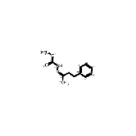 COC(=O)N/N=C(/C)CCc1ccccc1